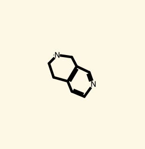 c1cc2c(cn1)C[N]CC2